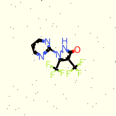 O=c1[nH]n(-c2ncccn2)c(C(F)(F)F)c1C(F)(F)F